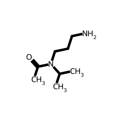 CC(=O)N(CCCN)C(C)C